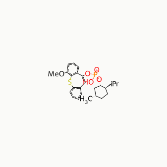 COc1cccc2c1Sc1ccccc1C=C2OP(=O)(O)O[C@H]1C[C@@H](C)CC[C@@H]1C(C)C